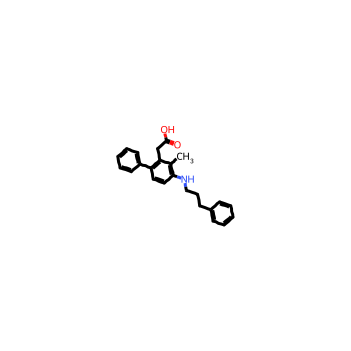 Cc1c(NCCCc2ccccc2)ccc(-c2ccccc2)c1CC(=O)O